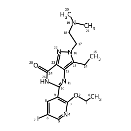 CCOc1ncc(I)cc1-c1nc2c(CC)n(CCN(C)C)nc2c(=O)[nH]1